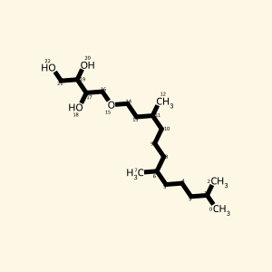 CC(C)CCCC(C)CCCC(C)CCOCC(O)C(O)CO